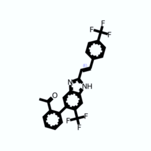 CC(=O)c1ccccc1-c1cc2nc(/C=C/c3ccc(C(F)(F)F)cc3)[nH]c2cc1C(F)(F)F